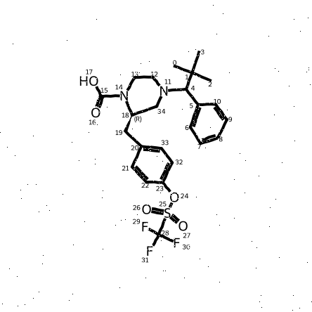 CC(C)(C)C(c1ccccc1)N1CCN(C(=O)O)[C@H](Cc2ccc(OS(=O)(=O)C(F)(F)F)cc2)C1